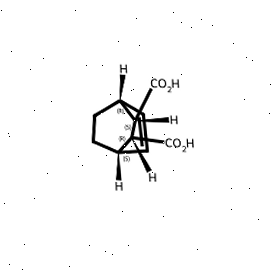 O=C(O)[C@@H]1[C@H](C(=O)O)[C@@H]2C=C[C@H]1CC2